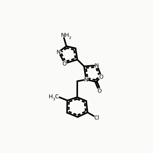 Cc1ccc(Cl)cc1Cn1c(-c2cc(N)no2)noc1=O